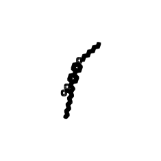 CCCCCCCCOc1ccc(-c2ccc(C3CC(CCCCCCCC)C(=O)O3)cc2)cc1